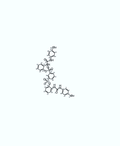 CC(C)(C)c1ccc(NC(=O)Nc2ccccc2OS(=O)(=O)c2cccc(S(=O)(=O)Oc3ccccc3NC(=O)Nc3ccc(C(C)(C)C)cc3)c2)cc1